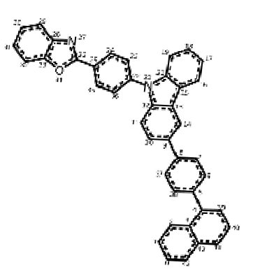 c1ccc2c(-c3ccc(-c4ccc5c(c4)c4ccccc4n5-c4ccc(-c5nc6ccccc6o5)cc4)cc3)cccc2c1